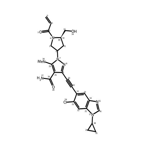 C=CC(=O)N1CC(n2nc(C#Cc3cc4ncn(C5CC5)c4cc3Cl)c(C(N)=O)c2NC)C[C@@H]1CO